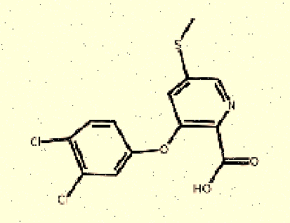 CSc1cnc(C(=O)O)c(Oc2ccc(Cl)c(Cl)c2)c1